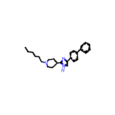 CCCCCCN1CCC(c2nc(-c3ccc(-c4ccccc4)cc3)c[nH]2)CC1